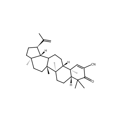 C=C(C)[C@@H]1CC[C@]2(C)CC[C@]3(C)C(CC[C@@H]4[C@@]5(C)C=C(C#N)C(=O)C(C)(C)[C@@H]5CC[C@]43C)[C@@H]12